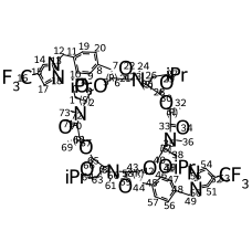 CC(C)C[C@H]1C(=O)O[C@H](Cc2ccc(Cn3cc(C(F)(F)F)cn3)cc2)C(=O)N(C)[C@@H](CC(C)C)C(=O)O[C@H](C)C(=O)N(C)[C@@H](CC(C)C)C(=O)O[C@H](Cc2ccc(Cn3cc(C(F)(F)F)cn3)cc2)C(=O)N(C)[C@@H](CC(C)C)C(=O)O[C@H](C)C(=O)N1C